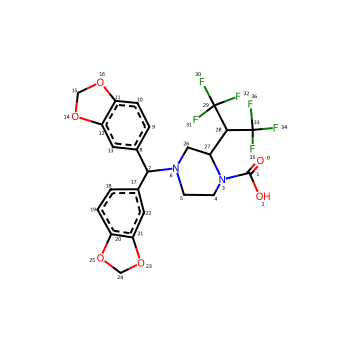 O=C(O)N1CCN(C(c2ccc3c(c2)OCO3)c2ccc3c(c2)OCO3)CC1C(C(F)(F)F)C(F)(F)F